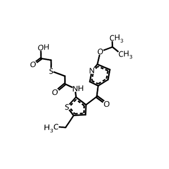 CCc1cc(C(=O)c2ccc(OC(C)C)nc2)c(NC(=O)CSCC(=O)O)s1